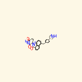 O=C1CCC(N2C(=O)c3cccc4c(Cc5ccc(C6CCNCC6)cc5)ccc2c34)C(=O)N1